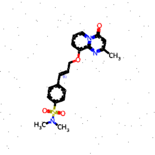 Cc1cc(=O)n2cccc(OC/C=C/c3ccc(S(=O)(=O)N(C)C)cc3)c2n1